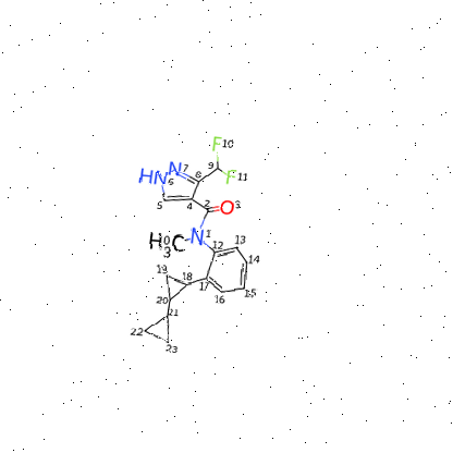 CN(C(=O)c1c[nH]nc1C(F)F)c1ccccc1C1CC1C1CC1